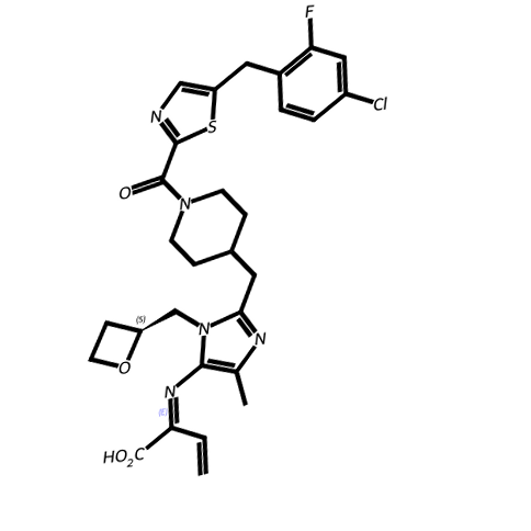 C=C/C(=N\c1c(C)nc(CC2CCN(C(=O)c3ncc(Cc4ccc(Cl)cc4F)s3)CC2)n1C[C@@H]1CCO1)C(=O)O